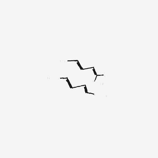 CCCCCC=CC=C(CC)C(=O)O.CCCCCC=CC=CC(=O)OCC